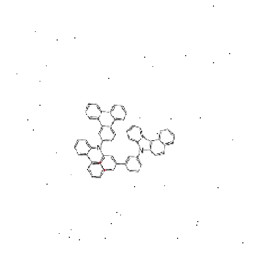 c1ccc(-c2ccccc2N(c2cccc(-c3cccc(-n4c5ccccc5c5c6ccccc6ccc54)c3)c2)c2ccc3c4ccccc4c4ccccc4c3c2)cc1